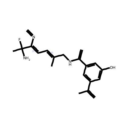 C=N/C(=C\C=C(/C)CNC(=C)c1cc(O)cc(C(=C)C)c1)C(C)(N)F